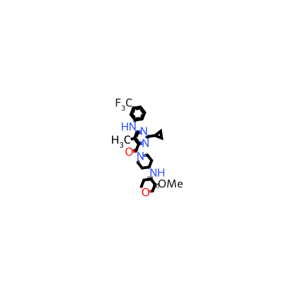 CO[C@@H]1COCC[C@@H]1NC1CCN(C(=O)c2nc(C3CC3)nc(Nc3cccc(C(F)(F)F)c3)c2C)CC1